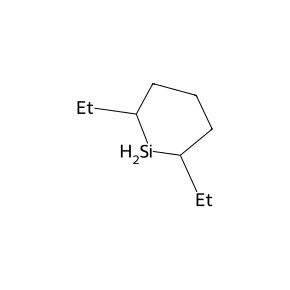 CCC1CCCC(CC)[SiH2]1